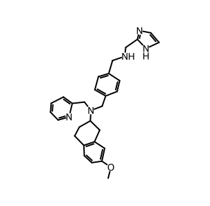 COc1ccc2c(c1)CC(N(Cc1ccc(CNCc3ncc[nH]3)cc1)Cc1ccccn1)CC2